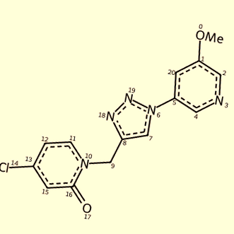 COc1cncc(-n2cc(Cn3ccc(Cl)cc3=O)nn2)c1